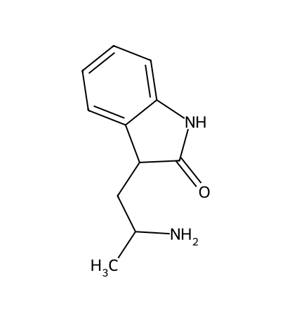 CC(N)CC1C(=O)Nc2ccccc21